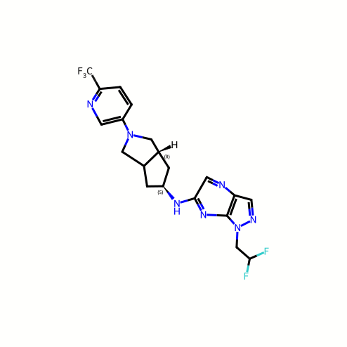 FC(F)Cn1ncc2ncc(N[C@H]3CC4CN(c5ccc(C(F)(F)F)nc5)C[C@@H]4C3)nc21